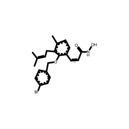 CC(C)=CCc1c(C)ccc(/C=C\C(=O)NO)c1OCc1ccc(Br)cc1